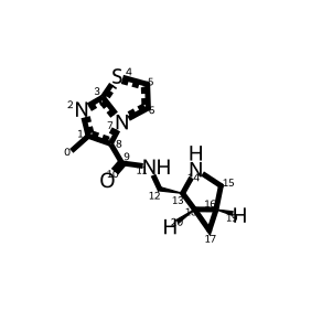 Cc1nc2sccn2c1C(=O)NC[C@H]1NC[C@@H]2C[C@@H]21